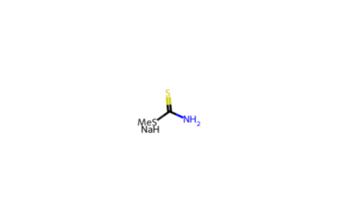 CSC(N)=S.[NaH]